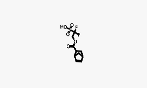 O=C(OCC(F)(F)S(=O)(=O)O)C1CC2C=CC1C2